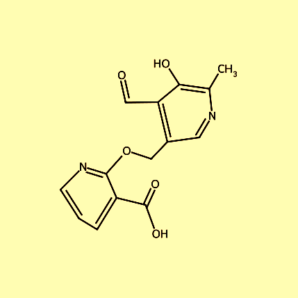 Cc1ncc(COc2ncccc2C(=O)O)c(C=O)c1O